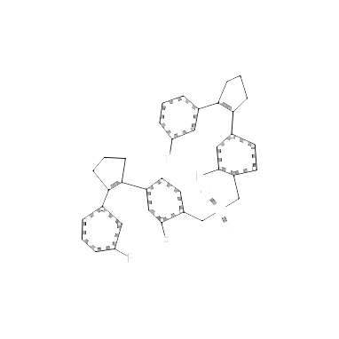 O=S(=O)(Cc1ccc(C2=C(c3cccc(F)c3)CCC2)cc1F)Cc1ccc(C2=C(c3cccc(F)c3)CCC2)cc1F